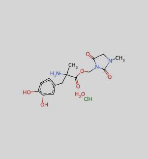 CN1CC(=O)N(COC(=O)C(C)(N)Cc2ccc(O)c(O)c2)C1=O.Cl.O